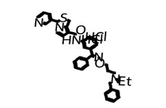 CCN(CCCON=C(c1ccccc1)c1cccc(NC(=O)c2ccn3c2CSC3c2cccnc2)c1)Cc1ccccc1.Cl.Cl